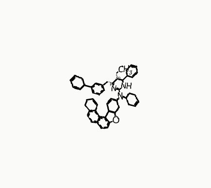 CC[C@@H]1C(C2C=CC=CC2)NC(N(C2C=CC3c4c(ccc5ccc6c(c45)C=CCC6)OC3C2)C2CC=CCC2)=N[C@@H]1Cc1cccc(C2C=CC=CC2)c1